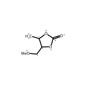 COCC1OC(=O)OC1C